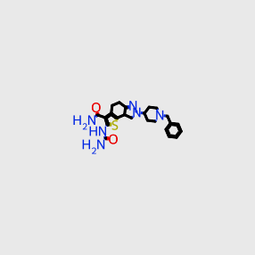 NC(=O)Nc1sc2c(c1C(N)=O)CCC1=NN(C3CCN(Cc4ccccc4)CC3)CC12